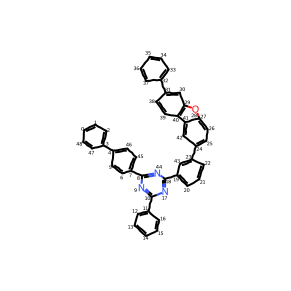 c1ccc(-c2ccc(-c3nc(-c4ccccc4)nc(-c4cccc(-c5ccc6oc7cc(-c8ccccc8)ccc7c6c5)c4)n3)cc2)cc1